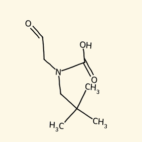 CC(C)(C)CN(CC=O)C(=O)O